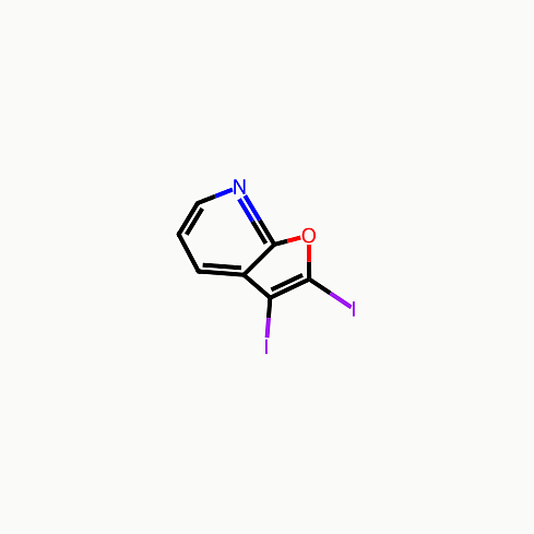 Ic1oc2ncccc2c1I